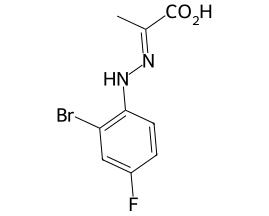 CC(=NNc1ccc(F)cc1Br)C(=O)O